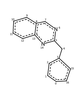 c1ccc(Cc2ncc3ccccc3n2)cc1